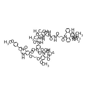 COc1ccc(C2=CN3C(=O)c4cc(OC)c(OCCCOc5cc6c(cc5OC)C(=O)N5CC7(CC7)C[C@H]5[C@H](O)N6C(=O)OCc5ccc(NC(=O)[C@H](C)NC(=O)[C@@H](NC(=O)CNC(=O)CNC(=O)CCC(=O)N6Cc7ccccc7/C(NC(C)C)=C(/NN)c7ccccc76)C(C)C)cc5)cc4NCC3C2)cc1